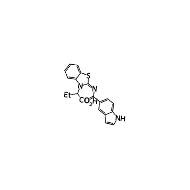 CCC(C(=O)O)n1/c(=N\C(=O)c2ccc3[nH]ccc3c2)sc2ccccc21